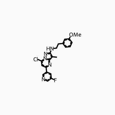 COc1cccc(CCNc2nn3c(Cl)cc(-c4cncc(F)c4)nc3c2C)c1